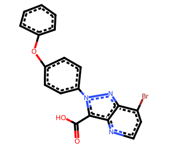 O=C(O)c1c2nccc(Br)c2nn1-c1ccc(Oc2ccccc2)cc1